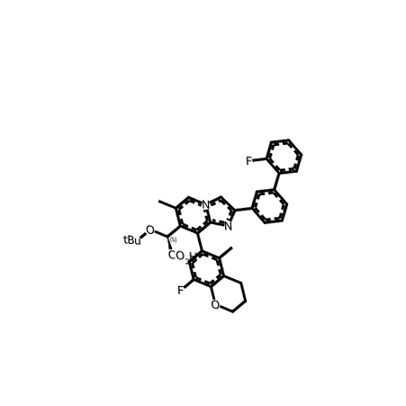 Cc1cn2cc(-c3cccc(-c4ccccc4F)c3)nc2c(-c2cc(F)c3c(c2C)CCCO3)c1[C@H](OC(C)(C)C)C(=O)O